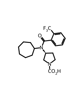 O=C(O)N1CC[C@H](N(C(=O)c2ccccc2C(F)(F)F)C2CCCCCC2)C1